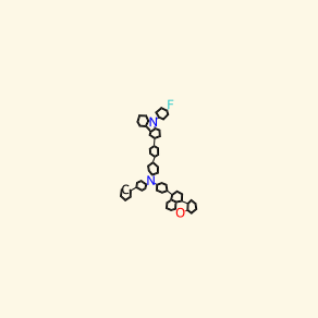 Fc1ccc(-n2c3ccccc3c3cc(-c4ccc(-c5ccc(N(c6ccc(-c7ccccc7)cc6)c6ccc(-c7ccc8c9c(cccc79)Oc7ccccc7-8)cc6)cc5)cc4)ccc32)cc1